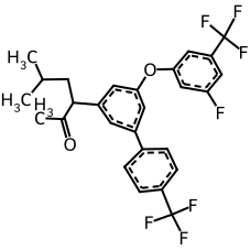 CC(=O)C(CC(C)C)c1cc(Oc2cc(F)cc(C(F)(F)F)c2)cc(-c2ccc(C(F)(F)F)cc2)c1